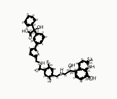 O=C(NCc1ccc(-c2cccc([C@](O)(C(=O)O)c3ccccc3)c2)s1)c1cc(F)c(CNC[C@H](O)c2ccc(O)c3[nH]c(=O)ccc23)cc1F